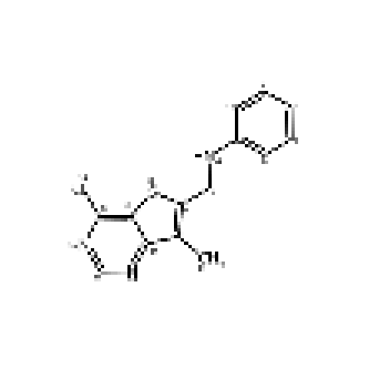 Cc1c(CNc2ccccc2)sc2c(Cl)ncnc12